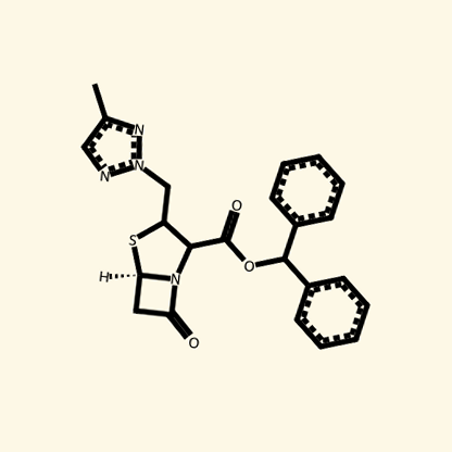 Cc1cnn(CC2S[C@@H]3CC(=O)N3C2C(=O)OC(c2ccccc2)c2ccccc2)n1